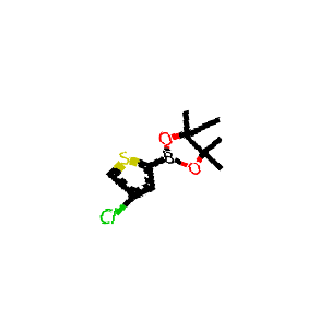 CC1(C)OB(c2cc(Cl)cs2)OC1(C)C